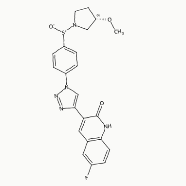 CO[C@H]1CCN([S+]([O-])c2ccc(-n3cc(-c4cc5cc(F)ccc5[nH]c4=O)nn3)cc2)C1